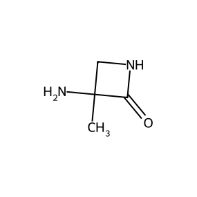 CC1(N)CNC1=O